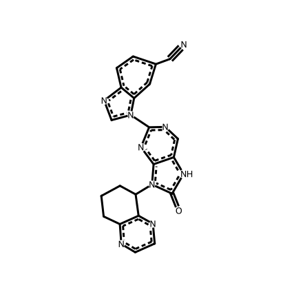 N#Cc1ccc2ncn(-c3ncc4[nH]c(=O)n(C5CCCc6nccnc65)c4n3)c2c1